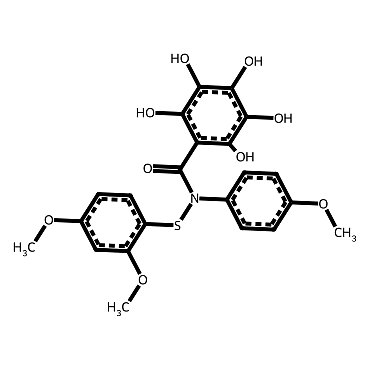 COc1ccc(N(Sc2ccc(OC)cc2OC)C(=O)c2c(O)c(O)c(O)c(O)c2O)cc1